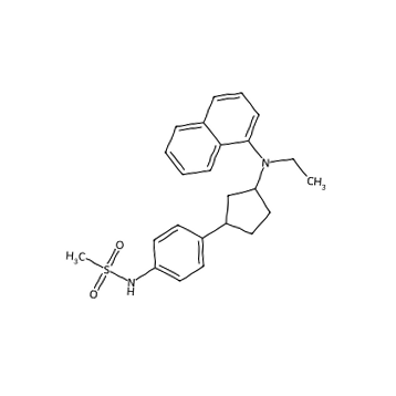 CCN(c1cccc2ccccc12)C1CCC(c2ccc(NS(C)(=O)=O)cc2)C1